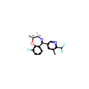 Cc1cc(C2=N[C@@H](C)[C@H](C)Oc3c(F)cccc32)cnc1C(F)F